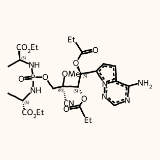 CCOC(=O)[C@H](C)NP(=O)(N[C@@H](C)C(=O)OCC)OC[C@@](C#N)(OC)[C@@H](OC(=O)CC)[C@@H](OC(=O)CC)c1ccc2c(N)ncnn12